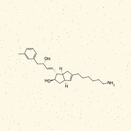 Cc1cccc(C[C@H](O)/C=C/[C@@H]2[C@H]3CC(CCCCCCN)=C[C@H]3C[C@H]2O)c1